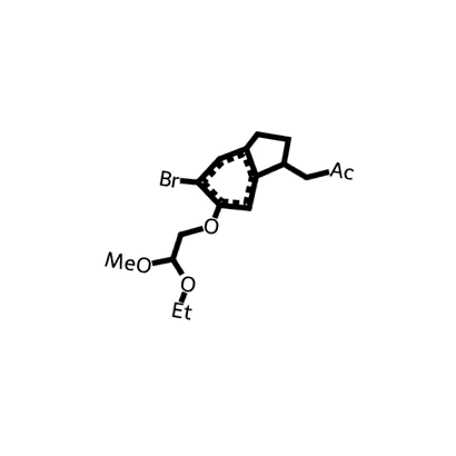 CCOC(COc1cc2c(cc1Br)CCC2CC(C)=O)OC